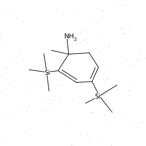 CC1(N)CC=C([Si](C)(C)C)C=C1[Si](C)(C)C